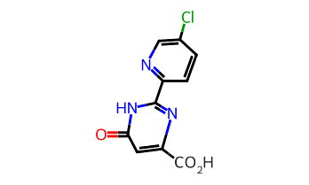 O=C(O)c1cc(=O)[nH]c(-c2ccc(Cl)cn2)n1